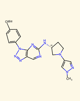 COc1ccc(-n2nnc3cnc(N[C@@H]4CCN(c5cnn(C)c5)C4)nc32)cc1